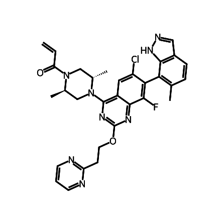 C=CC(=O)N1C[C@H](C)N(c2nc(OCCc3ncccn3)nc3c(F)c(-c4c(C)ccc5cn[nH]c45)c(Cl)cc23)C[C@H]1C